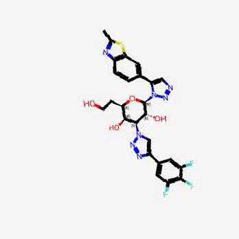 Cc1nc2ccc(-c3cnnn3[C@@H]3O[C@H](CCO)[C@H](O)[C@H](n4cc(-c5cc(F)c(F)c(F)c5)nn4)[C@H]3O)cc2s1